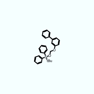 CC(C)(C)[Si](OCOc1cccc(-c2ccccc2)c1)(c1ccccc1)c1ccccc1